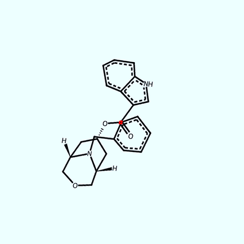 O=C(O[C@H]1C[C@H]2COC[C@@H](C1)N2Cc1ccccc1)c1c[nH]c2ccccc12